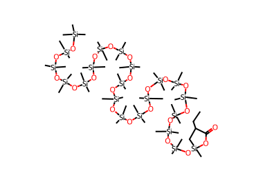 CCC1C[Si](C)(O[Si](C)(C)O[Si](C)(C)O[Si](C)(C)O[Si](C)(C)O[Si](C)(C)O[Si](C)(C)O[Si](C)(C)O[Si](C)(C)O[Si](C)(C)O[Si](C)(C)O[Si](C)(C)O[Si](C)(C)O[Si](C)(C)O[Si](C)(C)O[Si](C)(C)O[Si](C)(C)O[Si](C)(C)O[Si](C)(C)O[Si](C)(C)O[Si](C)(C)C)OC1=O